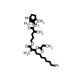 C=CC(=O)OC(CCCCCCCC(C)C)=C(C)C(=O)OCCCC(=C)C(=O)OC1C[C@H]2CC[C@@]1(C)C2(C)C